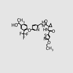 CCOc1cc(C(=O)NC2(C(=O)NCc3ccc(Oc4ccc(C(C)O)cc4C(F)(F)F)cn3)CC2)sn1